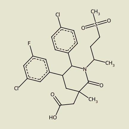 CC(CCS(C)(=O)=O)N1C(=O)C(C)(CC(=O)O)CC(c2cc(F)cc(Cl)c2)C1c1ccc(Cl)cc1